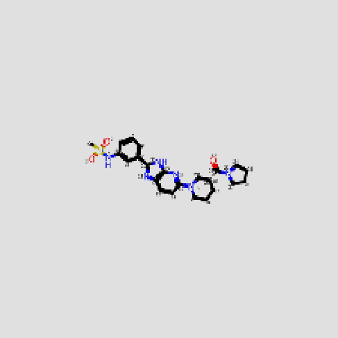 CS(=O)(=O)Nc1cccc(-c2nc3ccc(N4CCC[C@@H](C(=O)N5CCCC5)C4)nc3[nH]2)c1